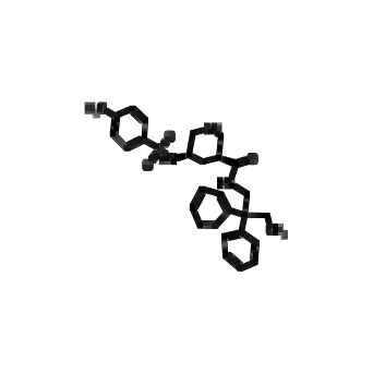 CCC(CNC(=O)[C@@H]1CNC[C@H](NS(=O)(=O)c2ccc(C)cc2)C1)(c1ccccc1)c1ccccc1